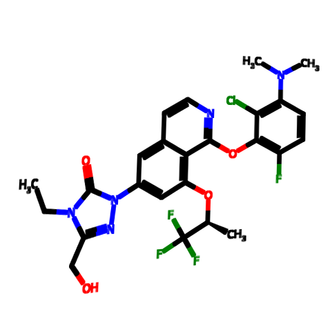 CCn1c(CO)nn(-c2cc(O[C@@H](C)C(F)(F)F)c3c(Oc4c(F)ccc(N(C)C)c4Cl)nccc3c2)c1=O